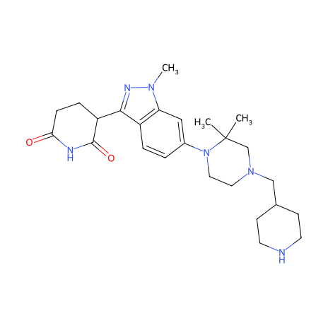 Cn1nc(C2CCC(=O)NC2=O)c2ccc(N3CCN(CC4CCNCC4)CC3(C)C)cc21